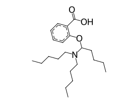 CCCCCN(CCCCC)C(CCCC)Oc1ccccc1C(=O)O